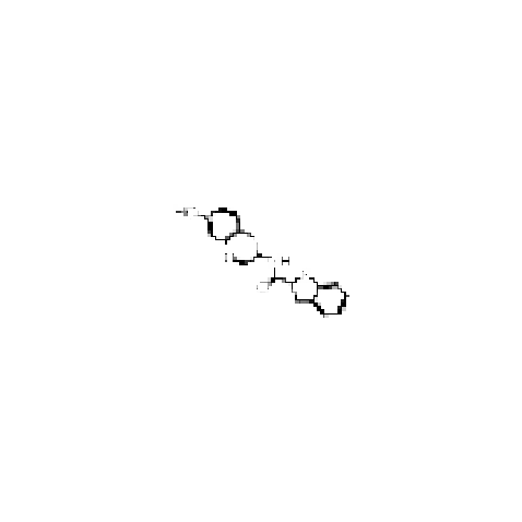 O=C[C@H](Cc1ccc(O)cc1)NC(=O)C1Cc2ccccc2S1